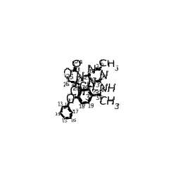 Cc1nc(NC(C)c2ccc(Oc3ccccc3)cc2)nc(N2C(=O)OCC2(C)C)n1